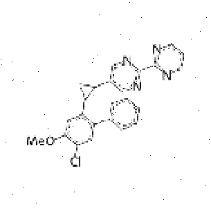 COc1cc(C2CC2c2cnc(-c3ncccn3)nc2)c(-c2ccccc2)cc1Cl